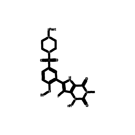 CCCCCN1CCN(S(=O)(=O)c2ccc(OCC)c(-c3[nH]c4c(=O)n(C)c(=O)n(CCC)c4c3I)c2)CC1